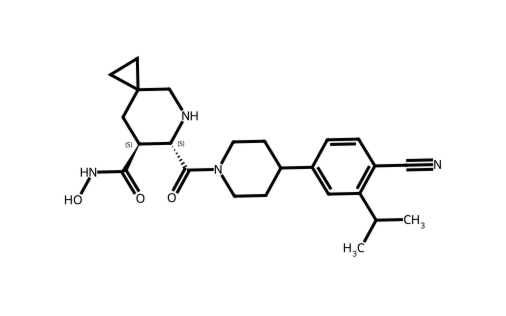 CC(C)c1cc(C2CCN(C(=O)[C@H]3NCC4(CC4)C[C@@H]3C(=O)NO)CC2)ccc1C#N